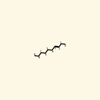 CC/C=C/CCCCCC